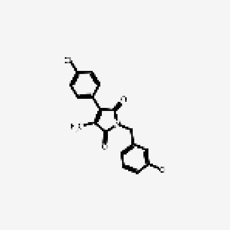 O=C1C(c2ccc(Cl)cc2)=C(C(F)(F)F)C(=O)N1Cc1cccc(Cl)c1